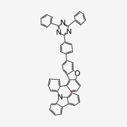 c1ccc(-c2nc(-c3ccccc3)nc(-c3ccc(-c4ccc5c(c4)oc4cccc(-c6ccccc6-n6c7ccccc7c7ccccc76)c45)cc3)n2)cc1